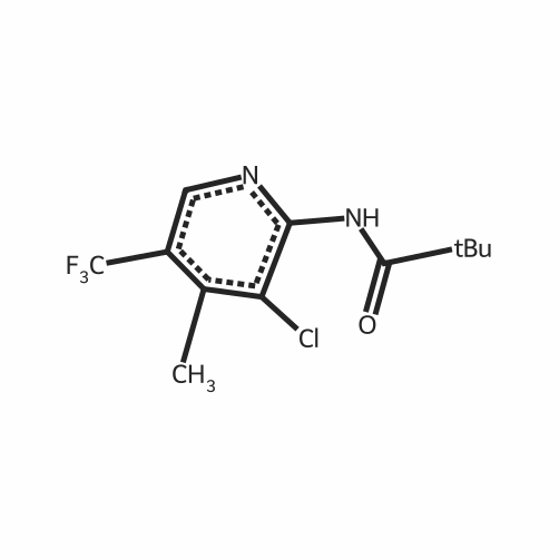 Cc1c(C(F)(F)F)cnc(NC(=O)C(C)(C)C)c1Cl